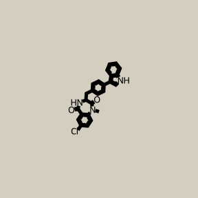 CN1C(=O)C(Cc2ccc(-c3c[nH]c4ccccc34)cc2)NC(=O)c2cc(Cl)ccc21